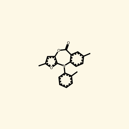 Cc1ccc2c(c1)C(=O)Oc1cc(C)oc1N2c1ccccc1C